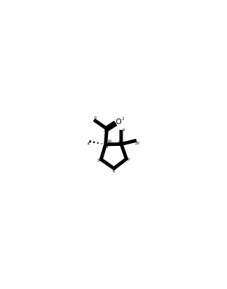 CC(=O)[C@]1(C)CCCC1(C)C